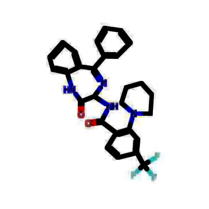 O=C(NC1N=C(c2ccccc2)c2ccccc2NC1=O)c1ccc(C(F)(F)F)cc1N1CCCCC1